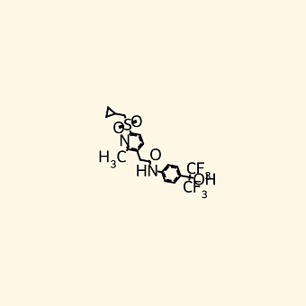 Cc1nc(S(=O)(=O)CC2CC2)ccc1CC(=O)Nc1ccc(C(O)(C(F)(F)F)C(F)(F)F)cc1